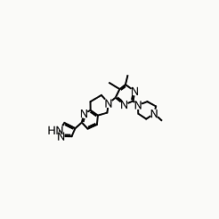 Cc1nc(N2CCN(C)CC2)nc(N2CCc3nc(-c4cn[nH]c4)ccc3C2)c1C